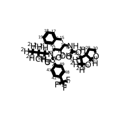 [2H]C([2H])([2H])C([2H])(C)C([2H])([2H])N(C[C@@H](O)[C@H](Cc1ccccc1)NC(=O)O[C@]1([2H])[C@@H]2CCO[C@@H]2OC1([2H])[2H])S(=O)(=O)c1ccc(C(F)(F)F)cc1